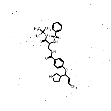 C/C=C/C(Oc1ccc(C(=O)NCC(NS(=O)(=O)c2ccccc2)C(=O)OC(C)(C)C)cc1)C1CCNC1